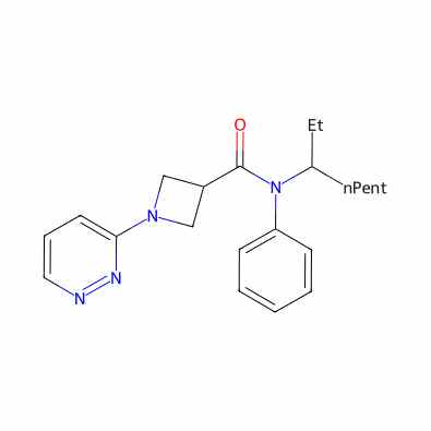 CCCCCC(CC)N(C(=O)C1CN(c2cccnn2)C1)c1ccccc1